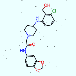 O=C(CN1CCC(Nc2cccc(Cl)c2CO)CC1)Nc1ccc2c(c1)OCO2